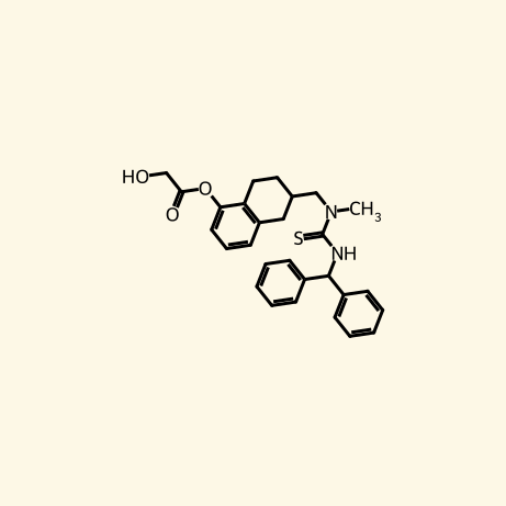 CN(CC1CCc2c(cccc2OC(=O)CO)C1)C(=S)NC(c1ccccc1)c1ccccc1